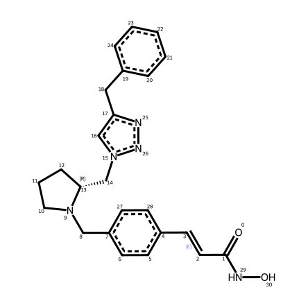 O=C(/C=C/c1ccc(CN2CCC[C@@H]2Cn2cc(Cc3ccccc3)nn2)cc1)NO